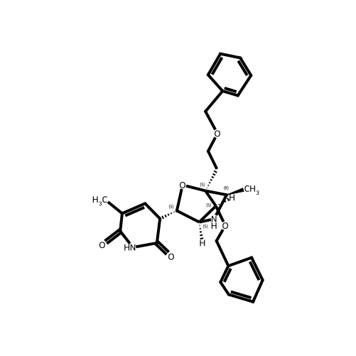 CC1=CC([C@@H]2O[C@@]3(CCOCc4ccccc4)[C@@H](C)N[C@@H]2[C@@H]3OCc2ccccc2)C(=O)NC1=O